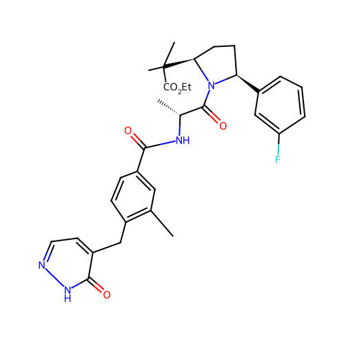 CCOC(=O)C(C)(C)[C@H]1CC[C@@H](c2cccc(F)c2)N1C(=O)[C@@H](C)NC(=O)c1ccc(Cc2ccn[nH]c2=O)c(C)c1